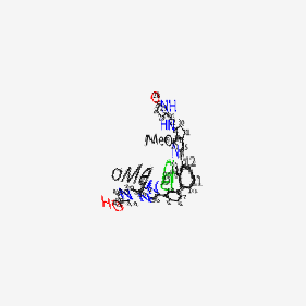 COc1nc(-c2cccc(-c3cccc(-c4cc5c(c(OC)n4)C(NCC4CCC(=O)N4)CC5)c3Cl)c2Cl)cnc1CN1CC(O)C1